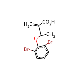 C=C(C(=O)O)C(C)Oc1c(Br)cccc1Br